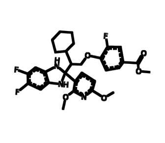 COC(=O)c1ccc(OCC(C2CCCCC2)C2(c3ccc(OC)nc3OC)Nc3cc(F)c(F)cc3N2)c(F)c1